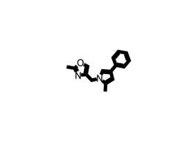 Cc1nc(Cn2cc(-c3ccccc3)cc2C)co1